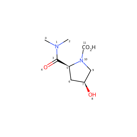 CN(C)C(=O)[C@@H]1C[C@H](O)CN1C(=O)O